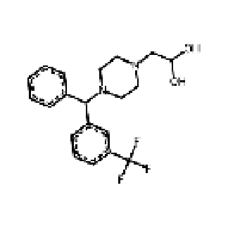 OC(O)CN1CCN(C(c2ccccc2)c2cccc(C(F)(F)F)c2)CC1